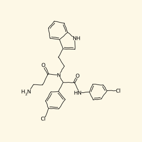 NCCC(=O)N(CCc1c[nH]c2ccccc12)C(C(=O)Nc1ccc(Cl)cc1)c1ccc(Cl)cc1